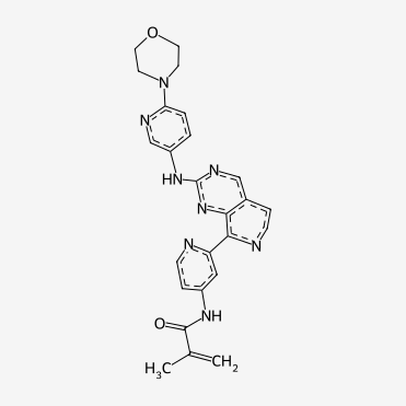 C=C(C)C(=O)Nc1ccnc(-c2nccc3cnc(Nc4ccc(N5CCOCC5)nc4)nc23)c1